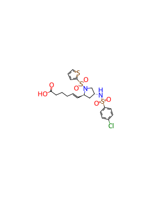 O=C(O)CCCC=C[C@@H]1C[C@@H](NS(=O)(=O)c2ccc(Cl)cc2)CN1S(=O)(=O)c1cccs1